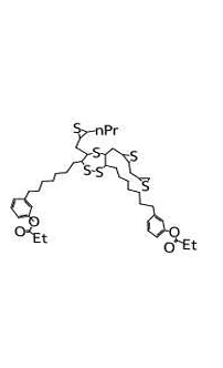 CCCC1SC1CC1SC(CC2SC2CC2CS2)C(CCCCCCCc2cccc(OC(=O)CC)c2)SSC1CCCCCCCc1cccc(OC(=O)CC)c1